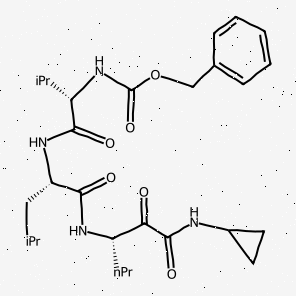 CCC[C@H](NC(=O)[C@H](CC(C)C)NC(=O)[C@@H](NC(=O)OCc1ccccc1)C(C)C)C(=O)C(=O)NC1CC1